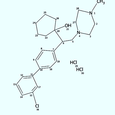 CN1CCN(CC(c2ccc(-c3cccc(Cl)c3)cc2)C2(O)CCCCC2)CC1.Cl.Cl